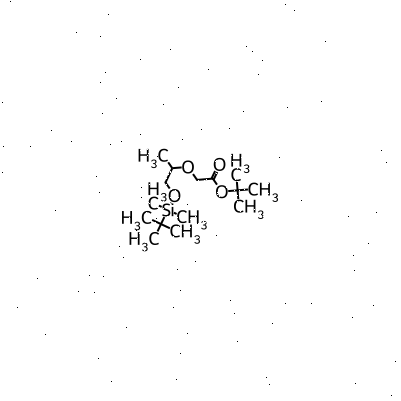 CC(CO[Si](C)(C)C(C)(C)C)OCC(=O)OC(C)(C)C